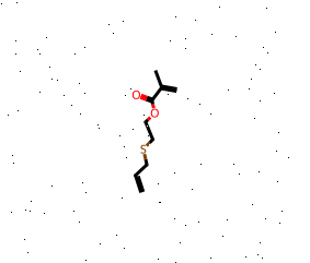 C=CCSCCOC(=O)C(=C)C